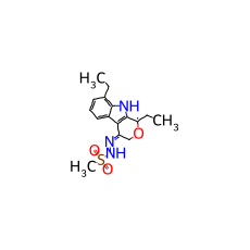 CC[C]1OCC(=NNS(C)(=O)=O)c2c1[nH]c1c(CC)cccc21